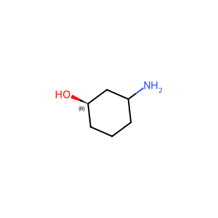 NC1CCC[C@@H](O)C1